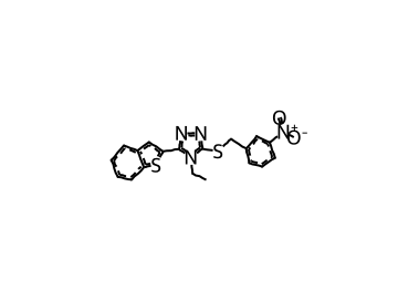 CCn1c(SCc2cccc([N+](=O)[O-])c2)nnc1-c1cc2ccccc2s1